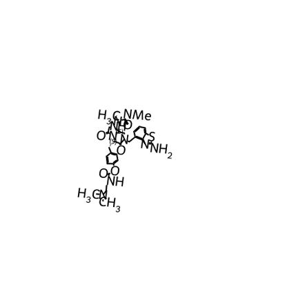 CNC(=O)N(C)N1CC(=O)N2[C@@H](Cc3ccc(OC(=O)NCCN(C)C)cc3)C(=O)N(Cc3cccc4sc(N)nc34)C[C@@H]21